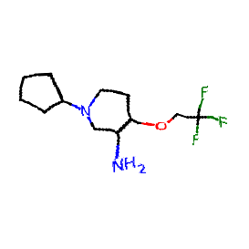 NC1CN(C2CCCC2)CCC1OCC(F)(F)F